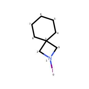 IN1CC2(CCCCC2)C1